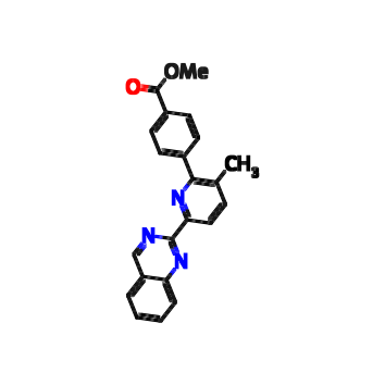 COC(=O)c1ccc(-c2nc(-c3ncc4ccccc4n3)ccc2C)cc1